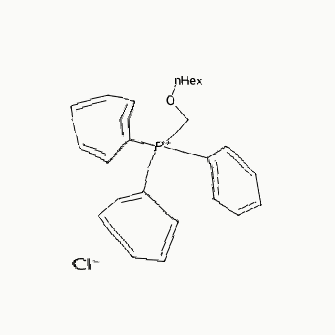 CCCCCCOC[P+](c1ccccc1)(c1ccccc1)c1ccccc1.[Cl-]